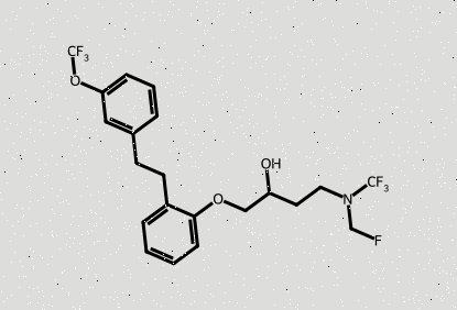 OC(CCN(CF)C(F)(F)F)COc1ccccc1CCc1cccc(OC(F)(F)F)c1